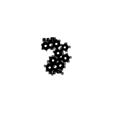 CC1(C)c2ccccc2Sc2c(-c3ccc([Si](c4ccccc4)(c4ccccc4)c4cccc5c4Sc4ccccc4C5(C)C)cc3C3CCCC3)cccc21